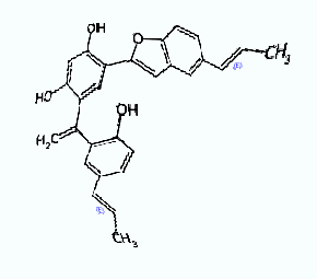 C=C(c1cc(/C=C/C)ccc1O)c1cc(-c2cc3cc(/C=C/C)ccc3o2)c(O)cc1O